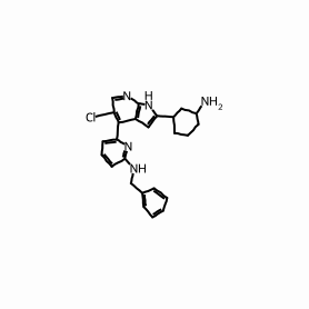 NC1CCCC(c2cc3c(-c4cccc(NCc5ccccc5)n4)c(Cl)cnc3[nH]2)C1